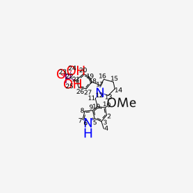 COc1cc(C)c2[nH]ccc2c1CN1CCCCC1c1ccc(P(=O)(O)O)cc1